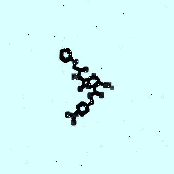 CC1=C(C(=O)OCc2ccc([N+](=O)[O-])cc2)N2C(=O)C(NC(=O)COc3ccccc3)C2SC1